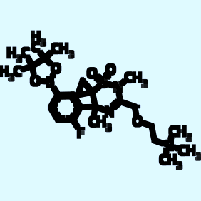 CN1C([CH]OCC[Si](C)(C)C)=NC(C)(c2cc(B3OC(C)(C)C(C)(C)O3)ccc2F)C2(CC2)S1(=O)=O